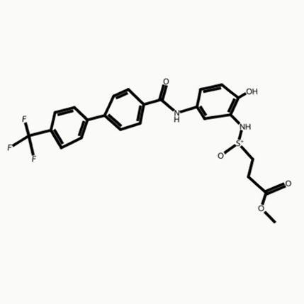 COC(=O)CC[S+]([O-])Nc1cc(NC(=O)c2ccc(-c3ccc(C(F)(F)F)cc3)cc2)ccc1O